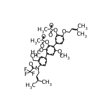 CCc1cc(-c2cc(OC)c(-c3ccc(OCC=C(C)C)c(OS(C)(=O)=O)c3)c(OS(C)(=O)=O)c2OC)ccc1N(CC=C(C)C)C(=O)C(F)(F)F